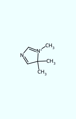 C[N+]1=CN=CC1(C)C